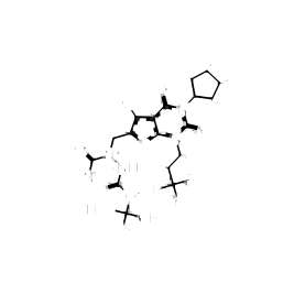 Cc1c(CN(NC(=O)OC(C)(C)C)C(N)=O)sc2c1c(=O)n(C1CCCC1)c(=O)n2CCC(F)(F)F